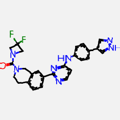 O=C(N1CCc2ccc(-c3nccc(Nc4ccc(-c5cn[nH]c5)cc4)n3)cc2C1)N1CC(F)(F)C1